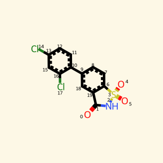 O=C1NS(=O)(=O)c2ccc(-c3ccc(Cl)cc3Cl)cc21